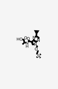 CC(NC(=O)c1cn(COCC[Si](C)(C)C)c2ncc(C3CC3)nc12)C(=O)O